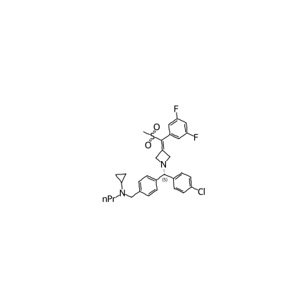 CCCN(Cc1ccc([C@@H](c2ccc(Cl)cc2)N2CC(=C(c3cc(F)cc(F)c3)S(C)(=O)=O)C2)cc1)C1CC1